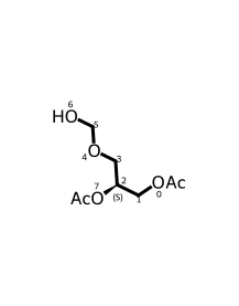 CC(=O)OC[C@H](COCO)OC(C)=O